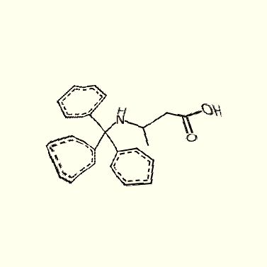 CC(CC(=O)O)NC(c1ccccc1)(c1ccccc1)c1ccccc1